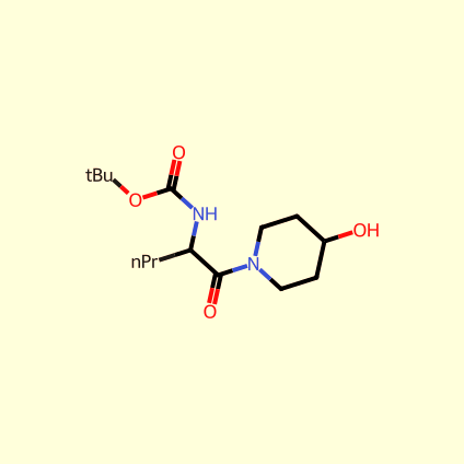 CCCC(NC(=O)OC(C)(C)C)C(=O)N1CCC(O)CC1